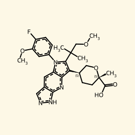 COCC(C)(C)c1c([C@@H]2CC[C@@](C)(C(=O)O)OC2)c2nc3[nH]ncc3cc2n1-c1ccc(F)c(OC)c1